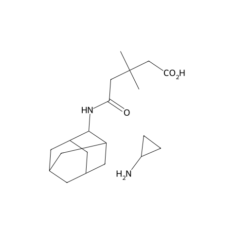 CC(C)(CC(=O)O)CC(=O)NC1C2CC3CC(C2)CC1C3.NC1CC1